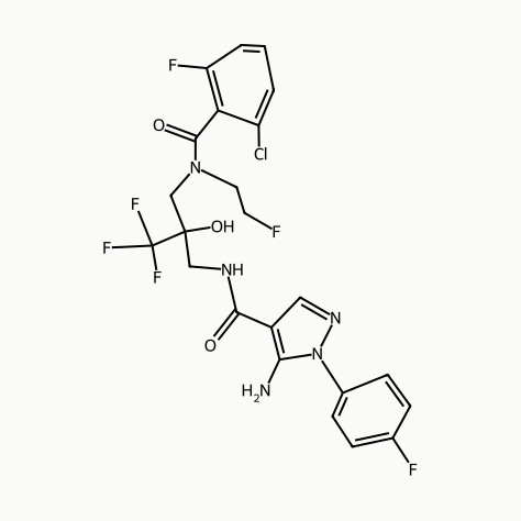 Nc1c(C(=O)NCC(O)(CN(CCF)C(=O)c2c(F)cccc2Cl)C(F)(F)F)cnn1-c1ccc(F)cc1